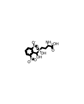 N[C@@H](CCP(=O)(O)C(O)c1c([N+](=O)[O-])cccc1[N+](=O)[O-])C(=O)O